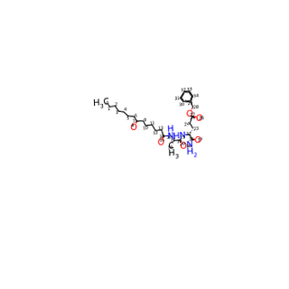 CCCCCCCC(=O)CCCCCC(=O)N[C@@H](C)C(=O)N[C@H](CCC(=O)OCc1ccccc1)C(N)=O